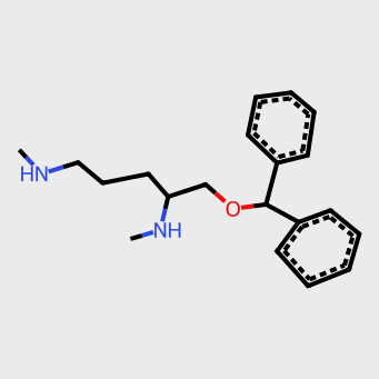 CNCCCC(COC(c1ccccc1)c1ccccc1)NC